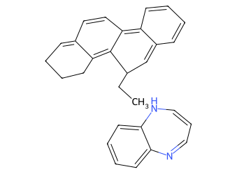 C1=CNc2ccccc2N=C1.CCC1C=c2ccccc2=c2ccc3c(c21)CCCC=3